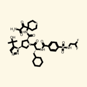 CC(C)(O)c1cnnn1[C@H]1C[C@@H](C(=O)NC2(C(=O)C(N)=O)CCSCC2)N(C(=O)[C@@H](CC2CCCCC2)NC(=O)c2ccc(S(=O)(=O)NCC(F)F)cc2)C1